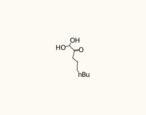 CCCCCCCC(=O)C(O)O